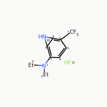 CCN(CC)c1ccc(C(F)(F)F)c2c1N2.F